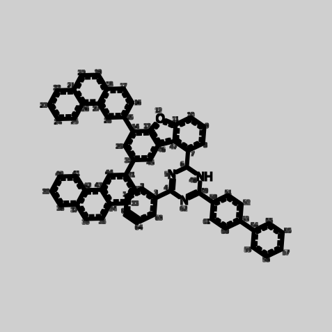 c1ccc(C2=NC(c3cccc4oc5c(-c6ccc7ccc8ccccc8c7c6)cc(-c6ccc7ccc8ccccc8c7c6)cc5c34)NC(c3ccc(-c4ccccc4)cc3)=N2)cc#1